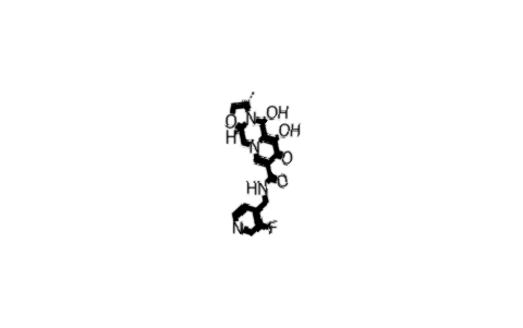 C[C@H]1CO[C@@H]2Cn3cc(C(=O)NCc4ccncc4F)c(=O)c(O)c3C(O)N12